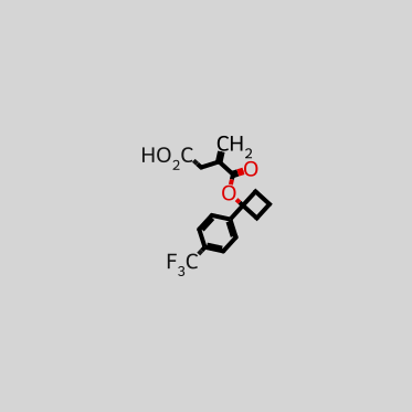 C=C(CC(=O)O)C(=O)OC1(c2ccc(C(F)(F)F)cc2)CCC1